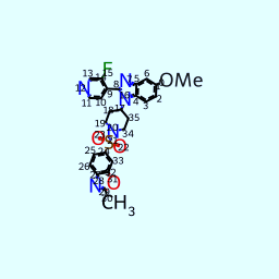 COc1ccc2c(c1)nc(-c1ccncc1F)n2C1CCN(S(=O)(=O)c2ccc3nc(C)oc3c2)CC1